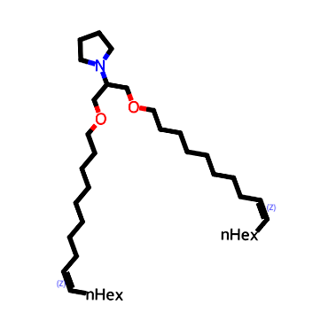 CCCCCC/C=C\CCCCCCCCOCC(COCCCCCCCC/C=C\CCCCCC)N1CCCC1